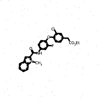 CCOC(=O)Cc1ccc(Oc2ccc(NC(=O)c3cc4ccccc4n3C)cc2F)c(Cl)c1